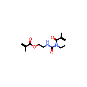 C=C(C)C(=O)OCCNC(=O)N(CC)C(=O)C(=C)C